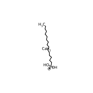 CCCCCCCCCCCCCCCCP(=O)(O)O.[CaH2]